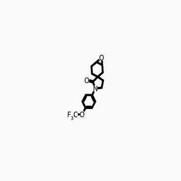 O=C1N(c2ccc(OC(F)(F)F)cc2)CCC12CCC1OC1C2